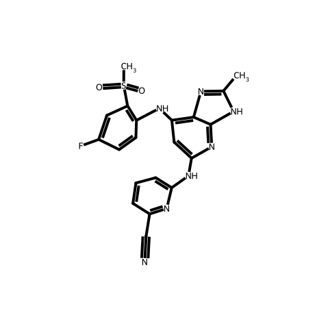 Cc1nc2c(Nc3ccc(F)cc3S(C)(=O)=O)cc(Nc3cccc(C#N)n3)nc2[nH]1